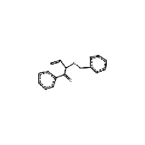 C=CC(OCc1ccccc1)C(=O)c1ccccc1